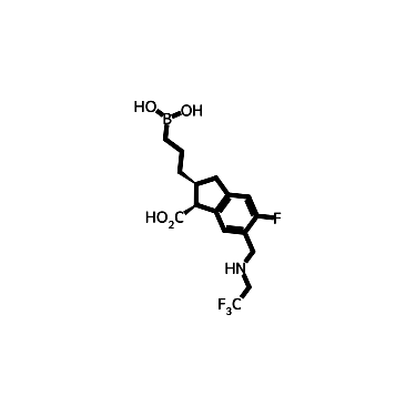 O=C(O)[C@@H]1c2cc(CNCC(F)(F)F)c(F)cc2C[C@@H]1CCCB(O)O